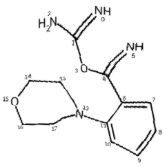 N=C(N)OC(=N)c1ccccc1N1CCOCC1